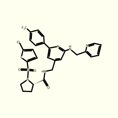 O=C(NCc1cc(NCc2ccccn2)nc(-c2ccc(C(F)(F)F)cc2)c1)[C@@H]1CCCN1S(=O)(=O)c1ccc(Cl)s1